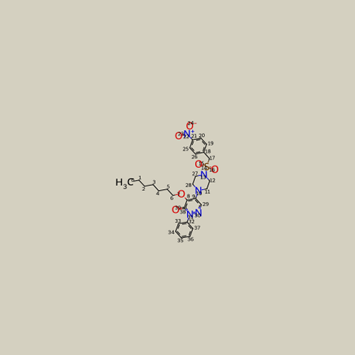 CCCCCCCOc1c(N2CCN(S(=O)(=O)Cc3ccc([N+](=O)[O-])cc3)CC2)cnn(-c2ccccc2)c1=O